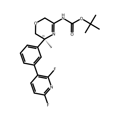 CC(C)(C)OC(=O)NC1=N[C@@](C)(c2cccc(-c3ccc(F)nc3F)c2)COC1